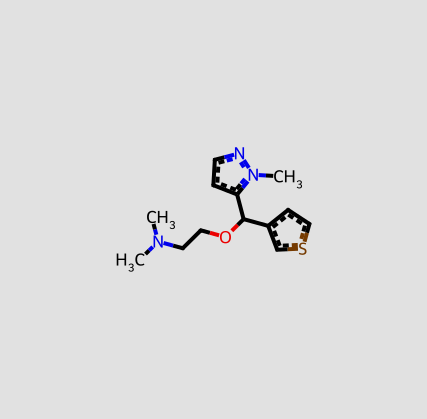 CN(C)CCOC(c1ccsc1)c1ccnn1C